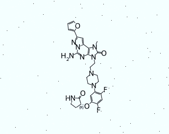 Cn1c(=O)n(CCN2CCN(c3cc(O[C@@H]4CCNC4=O)c(F)cc3F)CC2)c2nc(N)n3nc(-c4ccco4)cc3c21